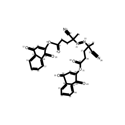 CC(C#N)(CCC(=O)OC1=CC(=O)c2ccccc2C1=O)N=NC(C)(C#N)CCC(=O)OC1=CC(=O)c2ccccc2C1=O